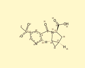 CS(=O)(=O)c1cncc(C(=O)N2[C@@H](C(=O)O)C[C@H]3C[C@H]32)c1